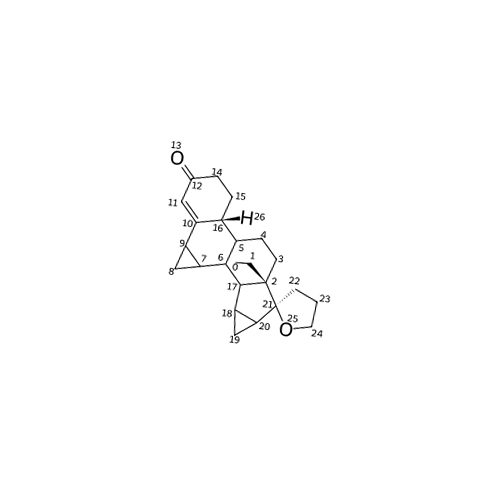 CC[C@]12CCC3C(C4CC4C4=CC(=O)CC[C@@H]43)C1C1CC1[C@@]21CCCO1